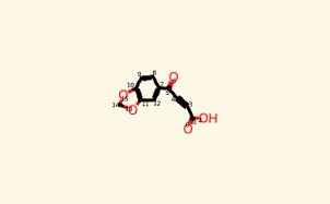 O=C(O)C#CC(=O)c1ccc2c(c1)OCO2